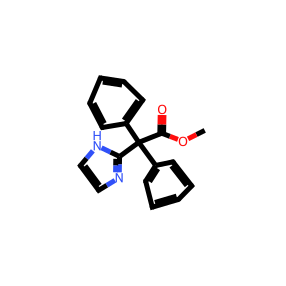 COC(=O)C(c1ccccc1)(c1ccccc1)c1ncc[nH]1